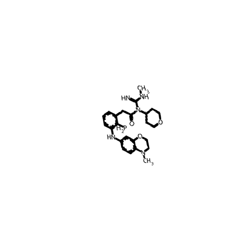 CNC(=N)N(C(=O)Cc1cccc(Nc2ccc3c(c2)OCCN3C)c1P)C1CCOCC1